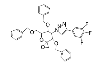 Fc1cc(-c2cn(C3C(OCc4ccccc4)C(COCc4ccccc4)OC4(CO4)C3OCc3ccccc3)nn2)cc(F)c1F